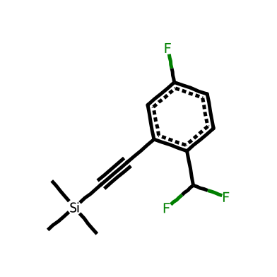 C[Si](C)(C)C#Cc1cc(F)ccc1C(F)F